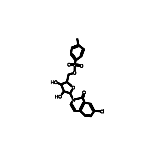 Cc1ccc(S(=O)(=O)OCC2OC(n3ccc4ccc(Cl)cc4c3=O)C(O)C2O)cc1